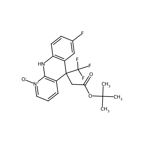 CC(C)(C)OC(=O)CC1(C(F)(F)F)c2cc(F)ccc2Nc2c1ccc[n+]2[O-]